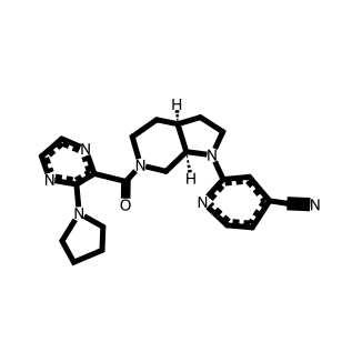 N#Cc1ccnc(N2CC[C@@H]3CCN(C(=O)c4nccnc4N4CCCC4)C[C@@H]32)c1